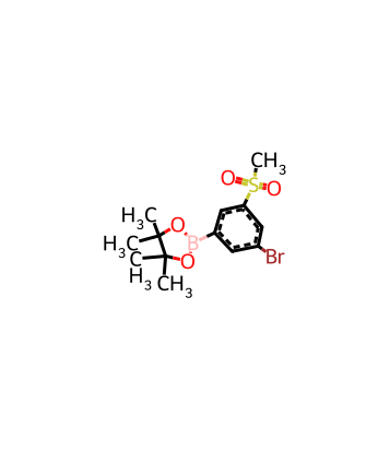 CC1(C)OB(c2cc(Br)cc(S(C)(=O)=O)c2)OC1(C)C